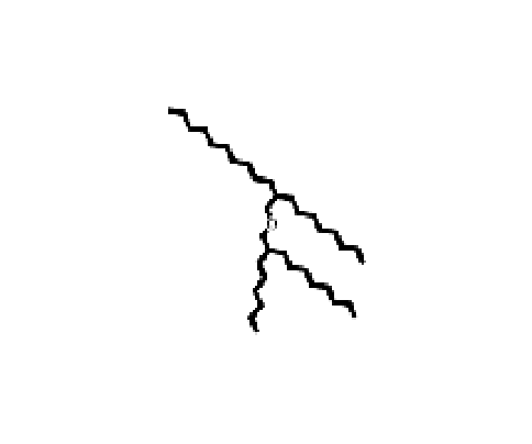 CCCCCCCCCCC(CCCCCCCC)COCC(CCCCCC)CCCCCCCC